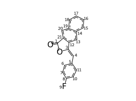 O=C1O/C(=C\c2ccc(F)cc2)c2cc3ccccc3cc21